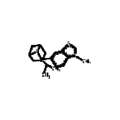 CC(C)N1CC2CC(C1)N2Cc1ccc2c(c1)ncn2C